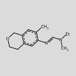 CCN(C)/C=N/c1cc2c(cc1C)COCC2